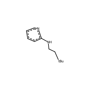 CC(C)(C)CCNc1ccccn1